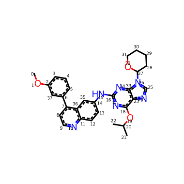 COc1cccc(-c2ccnc3ccc(Nc4nc(OC(C)C)c5ncn(C6CCCCO6)c5n4)cc23)c1